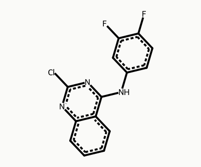 Fc1ccc(Nc2nc(Cl)nc3ccccc23)cc1F